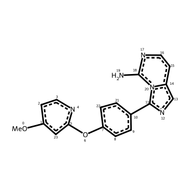 COc1ccnc(Oc2ccc(-c3ncc4ccnc(N)n34)cc2)c1